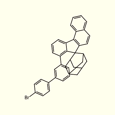 Brc1ccc(-c2cccc(-c3cccc4c3C3(c5ccc6ccccc6c5-4)C4CC5CC(C4)CC3C5)c2)cc1